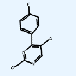 Fc1ccc(-c2nc(Cl)ncc2Cl)cc1